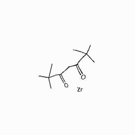 CC(C)(C)C(=O)CC(=O)C(C)(C)C.[Zr]